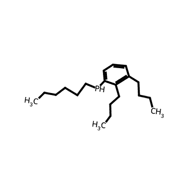 CCCCCCPc1cccc(CCCC)c1CCCC